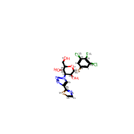 OCC1O[C@H](Sc2cc(Cl)c(F)c(Cl)c2)C(O)C(n2cc(-c3nccs3)nn2)[C@H]1O